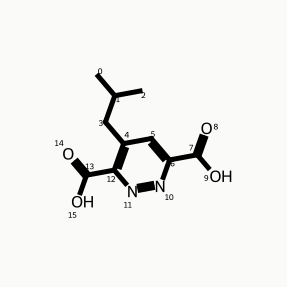 CC(C)Cc1cc(C(=O)O)nnc1C(=O)O